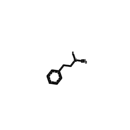 CN(I)CCc1ccccc1